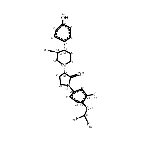 O=C1[C@@H](N2CC[C@@H](c3ccc(O)cc3)[C@H](F)C2)CCN1c1ccc(OC(F)F)c(Cl)c1